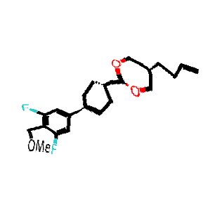 C=CCC[C@H]1CO[C@H]([C@H]2CC[C@H](c3cc(F)c(COC)c(F)c3)CC2)OC1